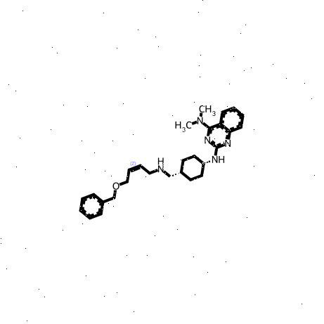 CN(C)c1nc(N[C@H]2CC[C@@H](CNC/C=C\COCc3ccccc3)CC2)nc2ccccc12